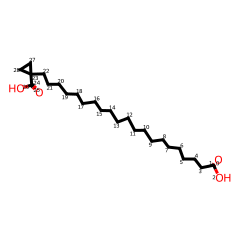 O=C(O)CCCCCCCCCCCCCCCCCCCCC1(C(=O)O)CC1